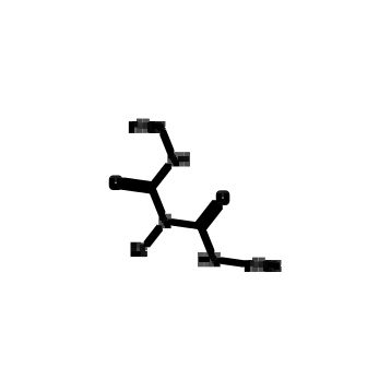 CCCCCCNC(=O)N(CC)C(=O)NCCCCCC